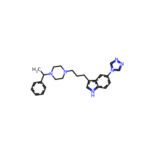 CC(c1ccccc1)N1CCN(CCCc2c[nH]c3ccc(-n4cnnc4)cc23)CC1